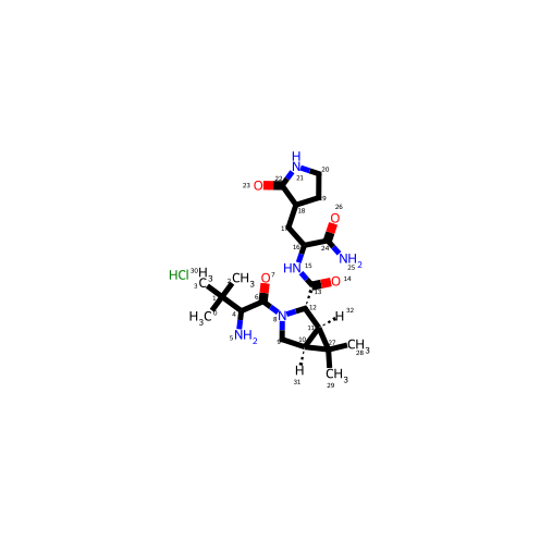 CC(C)(C)C(N)C(=O)N1C[C@H]2[C@@H]([C@H]1C(=O)NC(CC1CCNC1=O)C(N)=O)C2(C)C.Cl